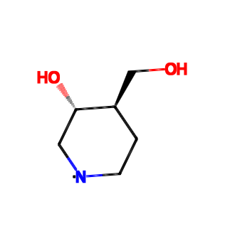 OC[C@H]1CC[N]C[C@@H]1O